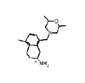 Cc1ccc(CN2CC(C)OC(C)C2)c2c1CC[C@@H](N)C2